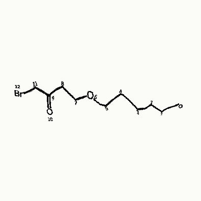 CCCCCCOCCC(=O)CBr